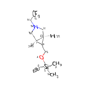 CC(C)(C)[Si](C)(C)OCC1[C@H]2CN(CC(F)(F)F)C[C@@H]12